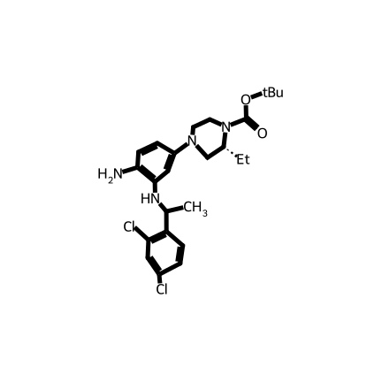 CC[C@@H]1CN(c2ccc(N)c(NC(C)c3ccc(Cl)cc3Cl)c2)CCN1C(=O)OC(C)(C)C